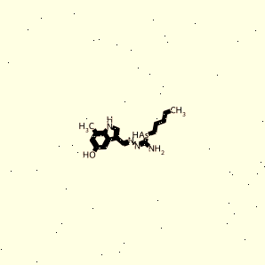 CCCCC[AsH]C(N)=NN=Cc1c[nH]c2c(C)cc(O)cc12